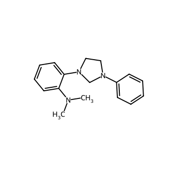 CN(C)c1ccccc1N1CCN(c2ccccc2)C1